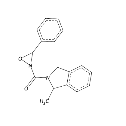 CC1c2ccccc2CN1C(=O)N1OC1c1ccccc1